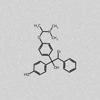 CCC(c1ccccc1)C(O)(c1ccc(O)cc1)c1ccc(OC(C)N(C)C)cc1